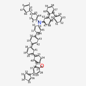 c1ccc(-c2ccc(N(c3ccc(-c4ccc(-c5cccc(-c6ccc7oc8ccc(-c9ccccc9)cc8c7c6)c5)cc4)cc3)c3ccc4c5ccccc5c5ccccc5c4c3)cc2)cc1